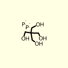 OCC(CO)(CO)CO.[P].[P]